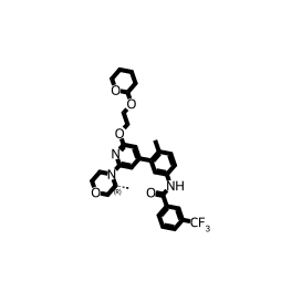 Cc1ccc(NC(=O)c2cccc(C(F)(F)F)c2)cc1-c1cc(OCCOC2CCCCO2)nc(N2CCOC[C@H]2C)c1